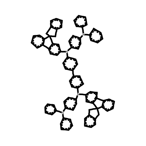 c1ccc(N(c2ccccc2)c2ccc(N(c3ccc(-c4ccc(N(c5ccc(N(c6ccccc6)c6ccccc6)cc5)c5ccc6c(c5)C5(Cc7ccccc7C5)c5ccccc5-6)cc4)cc3)c3ccc4c(c3)C3(Cc5ccccc5C3)c3ccccc3-4)cc2)cc1